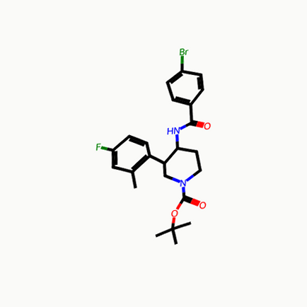 Cc1cc(F)ccc1C1CN(C(=O)OC(C)(C)C)CCC1NC(=O)c1ccc(Br)cc1